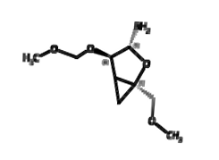 B[C@@H]1O[C@@]2(COC)CC2[C@H]1OCOC